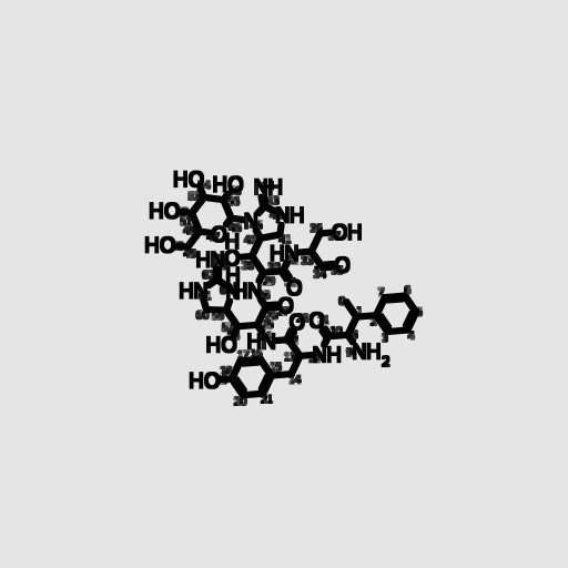 CC(c1ccccc1)C(N)C(=O)NC(Cc1ccc(O)cc1)C(=O)NC(C(=O)NC(C(=O)NC([C]=O)CO)C(O)C1CNC(=N)N1C1OC(CO)C(O)C(O)C1O)C(O)C1CNC(=N)N1